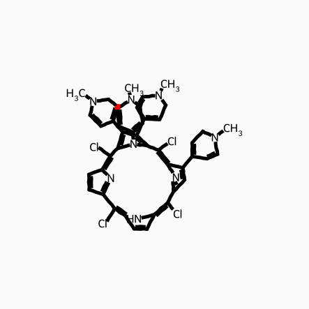 CN1C=CC(C2=Cc3nc2c(Cl)c2c(C4=CCN(C)C=C4)c(C4=CCN(C)C=C4)c(c(Cl)c4nc(c(Cl)c5ccc([nH]5)c3Cl)C=C4)n2C2=CCN(C)C=C2)=CC1